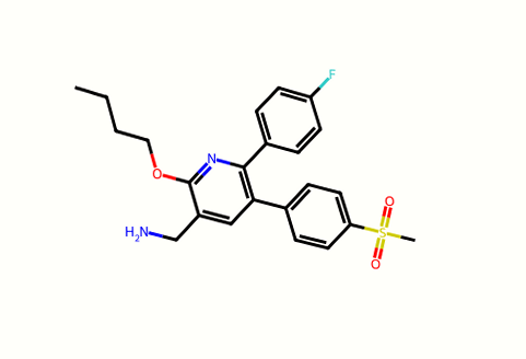 CCCCOc1nc(-c2ccc(F)cc2)c(-c2ccc(S(C)(=O)=O)cc2)cc1CN